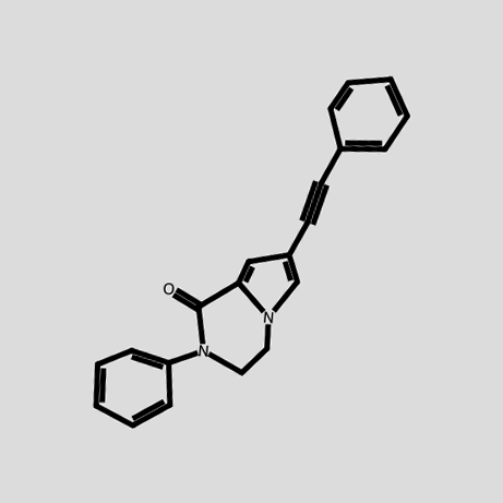 O=C1c2cc(C#Cc3ccccc3)cn2CCN1c1ccccc1